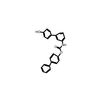 O=C(Nc1cc[c]c(-c2ccc(O)cc2)c1)Oc1ccc(-c2ccccc2)cc1